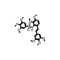 COc1cc(C=Cc2ccc(OC)c(OC)c2NS(=O)(=O)c2cc(OC)c(OC)c(OC)c2)cc(OC)c1OC